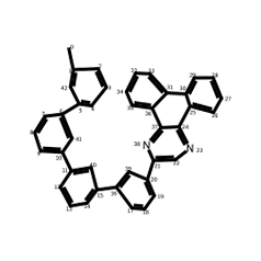 Cc1cccc(-c2cccc(-c3cccc(-c4cccc(-c5cnc6c7ccccc7c7ccccc7c6n5)c4)c3)c2)c1